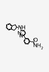 NC(=O)c1cccc(-c2ccc(NC3Cc4ccccc4C3)nn2)c1